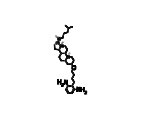 CC(C)CCC[C@@H](C)[C@H]1CCC2C3CCC4CC(OCCCCc5c(N)cccc5N)CC[C@]4(C)C3CC[C@@]21C